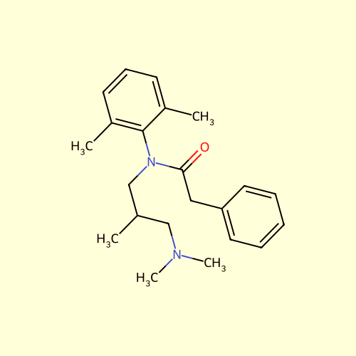 Cc1cccc(C)c1N(CC(C)CN(C)C)C(=O)Cc1ccccc1